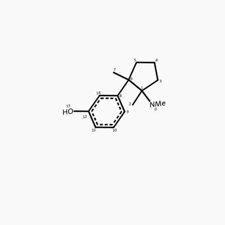 CNC1(C)CCCC1(C)c1cccc(O)c1